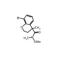 CON(C)C(=O)C1(C)CCOc2c(Br)cccc21